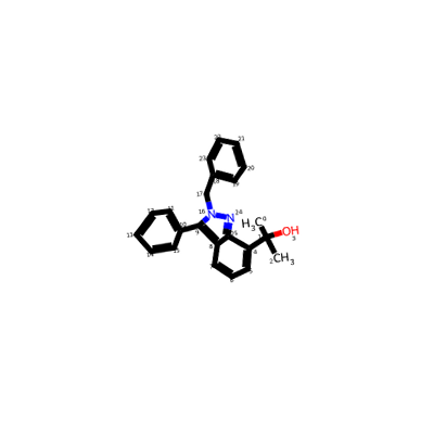 CC(C)(O)c1cccc2c(-c3ccccc3)n(Cc3ccccc3)nc12